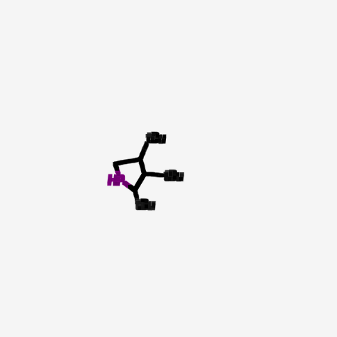 CC(C)(C)C1CPC(C(C)(C)C)C1C(C)(C)C